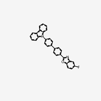 Fc1ccc2oc(-c3ccc(-c4ccc(-n5c6ccccc6c6ccccc65)cc4)cc3)nc2c1